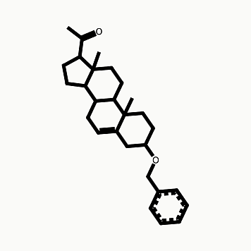 CC(=O)C1CCC2C3CC=C4CC(OCc5ccccc5)CCC4(C)C3CCC12C